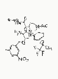 CC(=O)N1CCC(CC(=O)NO)[C@@H]([N@+]2(c3ccccc3)CC(OCc3cc(C)cc([N+](=O)[O-])c3)C(N)C2=O)C1.O=C(O)C(F)(F)F